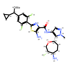 COC(c1cc(F)c(-c2nc(C(=O)Nc3cnn(C)c3[C@@H]3CC[C@@H](N)[C@H](F)CO3)c(N)s2)c(F)c1)C1CC1